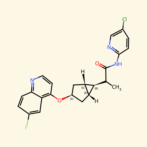 CC(C(=O)Nc1ccc(Cl)cn1)[C@H]1[C@@H]2C[C@@H](Oc3ccnc4ccc(F)cc34)C[C@@H]21